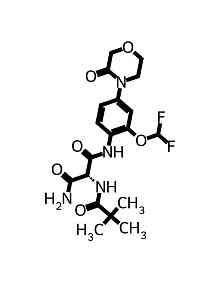 CC(C)(C)C(=O)N[C@H](C(N)=O)C(=O)Nc1ccc(N2CCOCC2=O)cc1OC(F)F